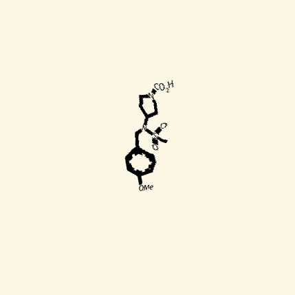 COc1ccc(CN(C2CCN(C(=O)O)C2)S(C)(=O)=O)cc1